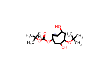 CC(C)(C)OC(=O)OC1/C=C/C(O)CC(OC(C)(C)C)C(O)C1